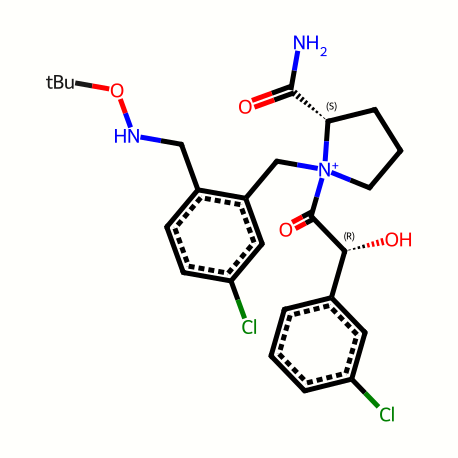 CC(C)(C)ONCc1ccc(Cl)cc1C[N+]1(C(=O)[C@H](O)c2cccc(Cl)c2)CCC[C@H]1C(N)=O